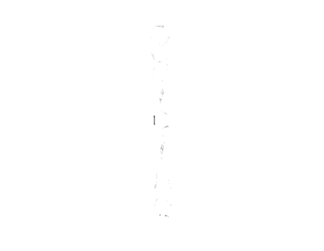 C(#Cc1cc2cc3ccccc3cc2s1)c1ccc(C#Cc2cc3cc4ccccc4cc3s2)cc1